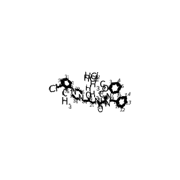 COc1ccccc1-n1c(-c2ccccc2)nc(C(=O)NCC(O)CN2CCN(c3cccc(Cl)c3C)CC2)c1C.Cl.Cl